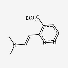 CCOC(=O)c1ccnnc1/C=C/N(C)C